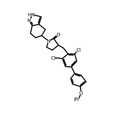 CC(C)Oc1ccc(-c2cc(Cl)c(CC3CCN(C4CCc5n[nH]cc5C4)C3=O)c(Cl)c2)cc1